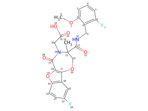 COc1cccc(F)c1CNC(=O)C1(C)COc2c(oc3ccc(F)cc23)C(=O)N1CC(=O)O